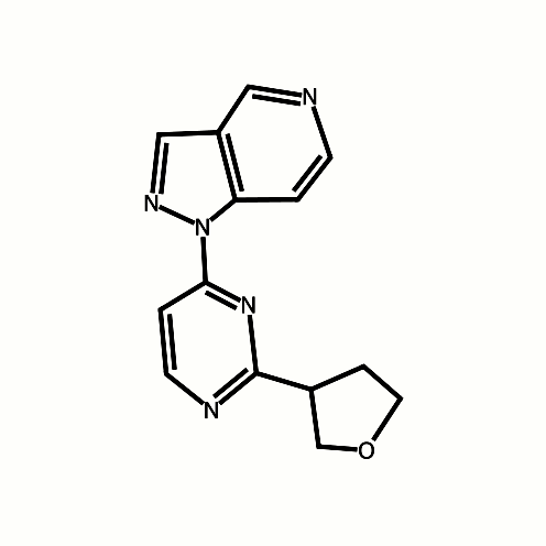 c1cc2c(cn1)cnn2-c1ccnc(C2CCOC2)n1